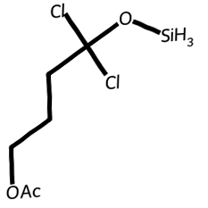 CC(=O)OCCCC(Cl)(Cl)O[SiH3]